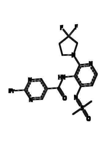 CC(C)c1ncc(C(=O)Nc2c(N=S(C)(C)=O)ccnc2N2CCC(F)(F)C2)cn1